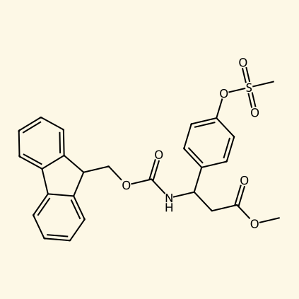 COC(=O)CC(NC(=O)OCC1c2ccccc2-c2ccccc21)c1ccc(OS(C)(=O)=O)cc1